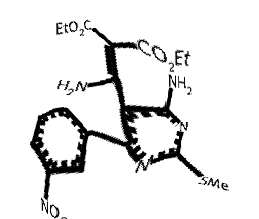 CCOC(=O)C(C(=O)OCC)=C(N)c1c(N)nc(SC)nc1-c1cccc([N+](=O)[O-])c1